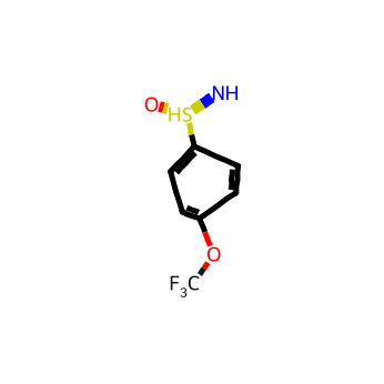 N=[SH](=O)c1ccc(OC(F)(F)F)cc1